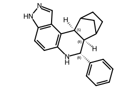 c1ccc([C@@H]2Nc3ccc4[nH]ncc4c3[C@H]3C4CCC(C4)[C@@H]23)cc1